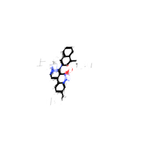 Cc1c2c(c(CC(C)(C)C)c3ccccc13)Oc1nc3cc(CC(C)(C)C)ccc3c3cc[n+](C)c-2c13